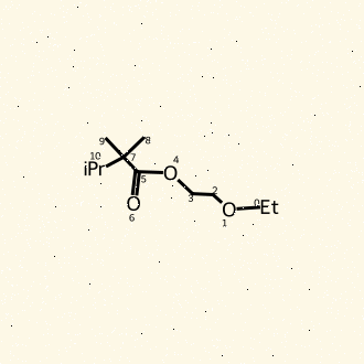 CCOCCOC(=O)C(C)(C)C(C)C